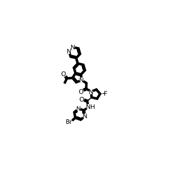 CC(=O)c1cn(CC(=O)N2C[C@H](F)C[C@H]2C(=O)Nc2ncc(Br)cn2)c2ccc(-c3ccnnc3)cc12